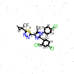 CCc1c(-c2nnc(C3(C(F)(F)F)CC3)s2)nc(-c2ccc(Cl)cc2Cl)n1-c1ccc(Cl)cc1